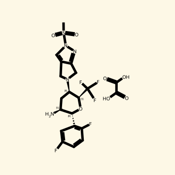 CS(=O)(=O)n1cc2c(n1)CN([C@@H]1C[C@H](N)[C@@H](c3cc(F)ccc3F)O[C@@H]1C(F)(F)F)C2.O=C(O)C(=O)O